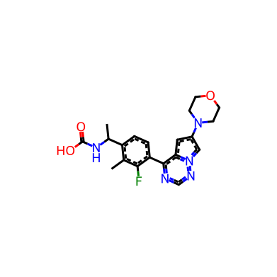 Cc1c(C(C)NC(=O)O)ccc(-c2ncnn3cc(N4CCOCC4)cc23)c1F